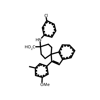 COc1cc(C)cc(C2=Cc3ccccc3C23CCC(Nc2cccc(Cl)c2)(C(=O)O)CC3)c1